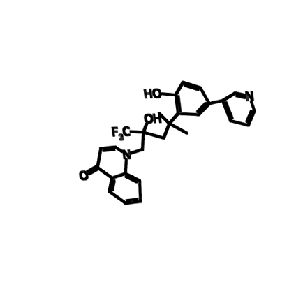 CC(C)(CC(O)(Cn1ccc(=O)c2ccccc21)C(F)(F)F)c1cc(-c2cccnc2)ccc1O